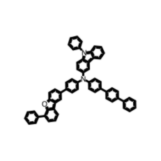 c1ccc(-c2ccc(-c3ccc(N(c4ccc(-c5ccc6oc7c(-c8ccccc8)cccc7c6c5)cc4)c4ccc5c(c4)c4ccccc4n5-c4ccccc4)cc3)cc2)cc1